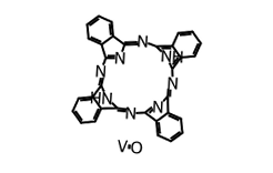 [O]=[V].c1ccc2c(c1)-c1nc-2nc2[nH]c(nc3nc(nc4[nH]c(n1)c1ccccc41)-c1ccccc1-3)c1ccccc21